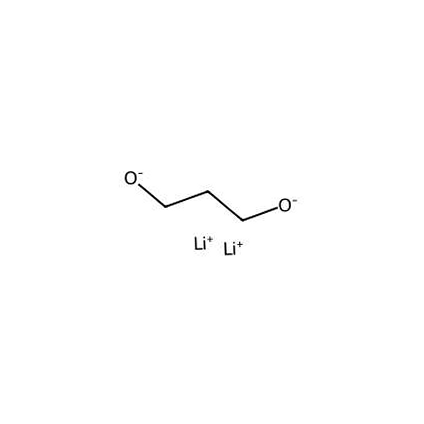 [Li+].[Li+].[O-]CCC[O-]